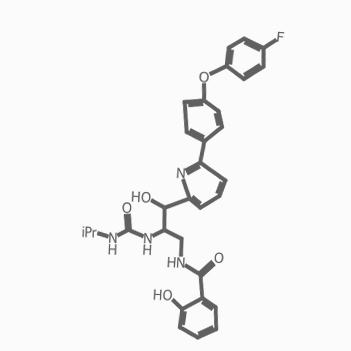 CC(C)NC(=O)NC(CNC(=O)c1ccccc1O)C(O)c1cccc(-c2ccc(Oc3ccc(F)cc3)cc2)n1